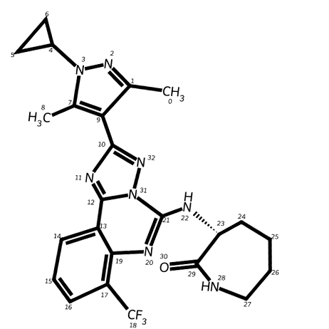 Cc1nn(C2CC2)c(C)c1-c1nc2c3cccc(C(F)(F)F)c3nc(N[C@@H]3CCCCNC3=O)n2n1